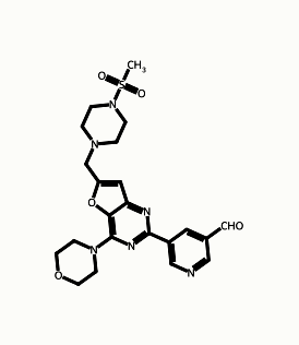 CS(=O)(=O)N1CCN(Cc2cc3nc(-c4cncc(C=O)c4)nc(N4CCOCC4)c3o2)CC1